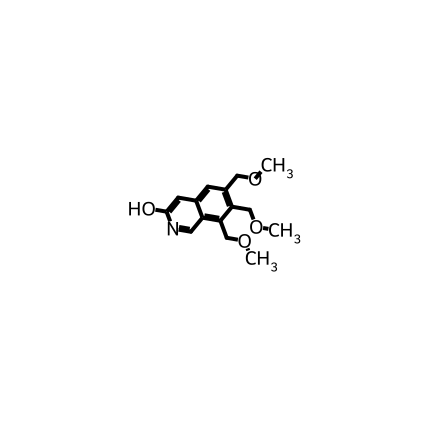 COCc1cc2cc(O)ncc2c(COC)c1COC